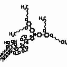 CCCCCCOc1ccc(-c2ccc(N(c3ccc(-c4ccc(OCCCCCC)cc4OCCCCCC)cc3)c3ccc(-c4sc(-c5sc(-c6sc(C(=C(C(=O)O)C(=O)O)C(F)(F)C(F)(F)C(F)(F)C(F)(F)C(F)(F)C(F)(F)F)c7c6OCCO7)c6c5OCCO6)c5c4OCCO5)s3)cc2)c(OCCCCCC)c1